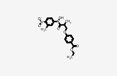 CCOC(=O)c1ccc(OCC(C)C(=O)N(O)c2ccc([N+](=O)[O-])c(C)c2)cc1